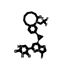 O=C1CCCCCCc2ccc([C@H]3C[C@@H]3c3cc(-c4c[nH]c(=O)[nH]c4=O)nn4c(F)cnc34)cc2N1CC(F)(F)F